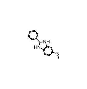 CSc1ccc2c(c1)NC(c1ccccc1)N2